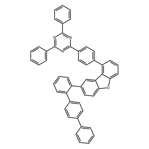 c1ccc(-c2ccc(-c3ccccc3-c3ccc4oc5cccc(-c6ccc(-c7nc(-c8ccccc8)nc(-c8ccccc8)n7)cc6)c5c4c3)cc2)cc1